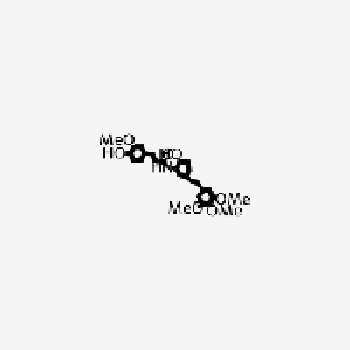 COc1cc(/C=C/C(=O)Nc2cc(/C=C/c3cc(OC)c(OC)c(OC)c3)ccc2O)ccc1O